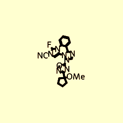 COC1(c2noc(N3C=NC4c5ccccc5N5C(=CN(C#N)C5F)N43)n2)CCCC1